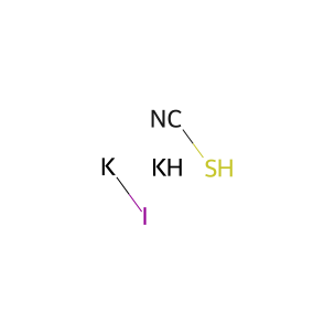 N#CS.[KH].[K][I]